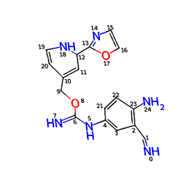 N=Cc1cc(NC(=N)OCC2=CC(c3ncco3)NC=C2)ccc1N